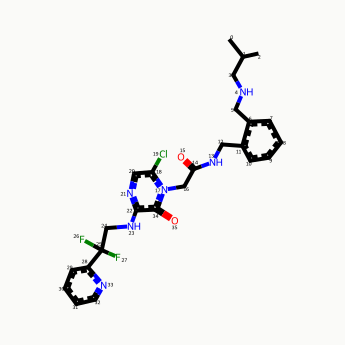 CC(C)CNCc1ccccc1CNC(=O)Cn1c(Cl)cnc(NCC(F)(F)c2ccccn2)c1=O